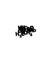 CN(C)c1nc(N[C@H]2CC[C@@H](CNC(=O)NC3CCCC3)CC2)nc2ccccc12